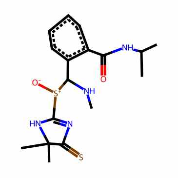 CNC(c1ccccc1C(=O)NC(C)C)[S+]([O-])C1=NC(=S)C(C)(C)N1